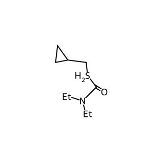 CCN(CC)C(=O)[SH2]CC1CC1